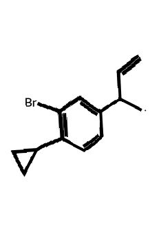 [CH2]C(C=C)c1ccc(C2CC2)c(Br)c1